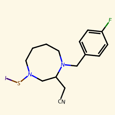 N#CCC1CN(SI)CCCCN1Cc1ccc(F)cc1